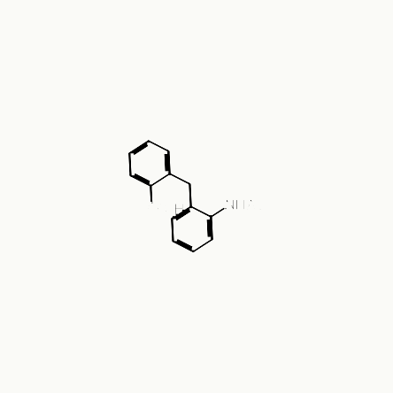 CC(=O)Nc1ccccc1Cc1ccccc1C(=O)O